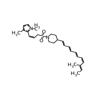 C/C=C(C)/C=C\C=C\C=C\C=C\C1CCN(S(=O)(=O)C/C=C\c2c(C)ccn2C)CC1